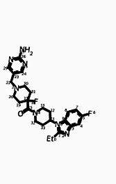 CCc1nc2cc(F)ccc2n1C1CCN(C(=O)C2(F)CCN(Cc3cnc(N)nc3)CC2)CC1